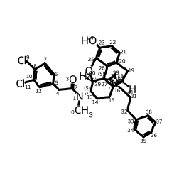 CN(C(=O)Cc1ccc(Cl)c(Cl)c1)[C@H]1CC[C@@]2(O)[C@H]3Cc4ccc(O)c5c4[C@@]2(CCN3CCc2ccccc2)[C@H]1O5